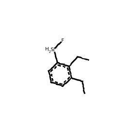 CCc1cccc([SiH2]F)c1CC